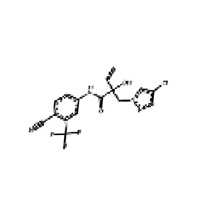 C=CC(O)(Cn1cc(Cl)cn1)C(=O)Nc1ccc(C#N)c(C(F)(F)F)c1